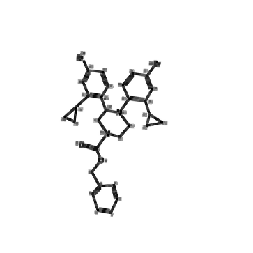 O=C(OCc1ccccc1)N1CCN(c2ccc(Br)cc2C2CC2)C(c2ccc(Br)cc2C2CC2)C1